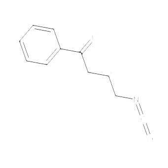 O=C=NCCCC(=O)c1ccccc1